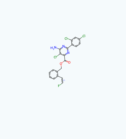 Nc1nc(-c2ccc(Cl)cc2Cl)nc(C(=O)OCc2ccccc2/C=C\F)c1Cl